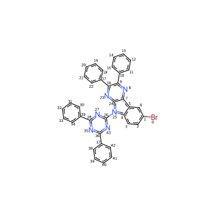 Brc1ccc2c(c1)c1nc(-c3ccccc3)c(-c3ccccc3)nc1n2-c1nc(-c2ccccc2)nc(-c2ccccc2)n1